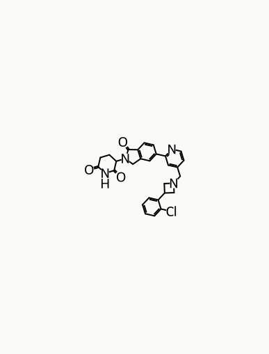 O=C1CCC(N2Cc3cc(-c4cc(CN5CC(c6ccccc6Cl)C5)ccn4)ccc3C2=O)C(=O)N1